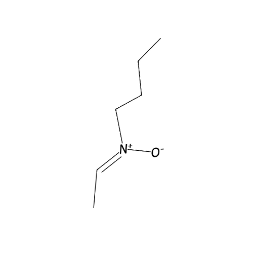 CC=[N+]([O-])CCCC